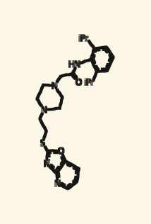 CC(C)c1cccc(C(C)C)c1NC(=O)CN1CCN(CCSc2nc3ncccc3o2)CC1